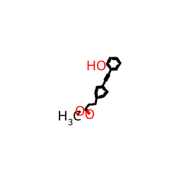 COC(=O)CCc1ccc(C#Cc2ccccc2O)cc1